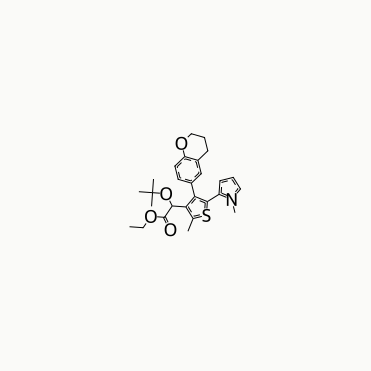 CCOC(=O)C(OC(C)(C)C)c1c(C)sc(-c2cccn2C)c1-c1ccc2c(c1)CCCO2